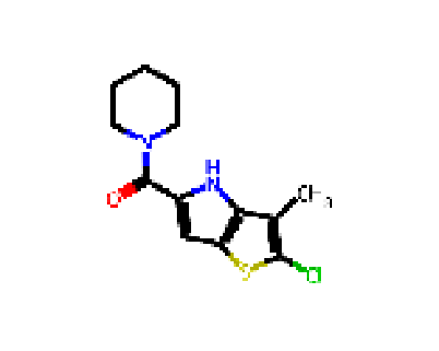 Cc1c(Cl)sc2cc(C(=O)N3CCCCC3)[nH]c12